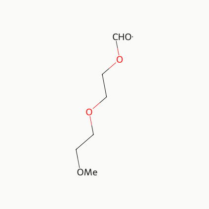 COCCOCCO[C]=O